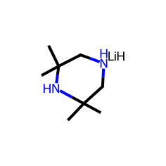 CC1(C)CNCC(C)(C)N1.[LiH]